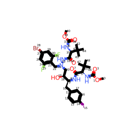 COC(=O)N[C@H](C(=O)N[C@@H](Cc1ccc(I)cc1)[C@@H](O)CN(Cc1c(F)cc(Br)cc1F)NC(=O)[C@@H](NC(=O)OC)C(C)(C)C)C(C)(C)C